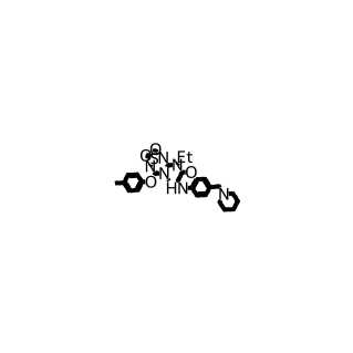 CCN(C1=NS(=O)(=O)N=C(Oc2ccc(C)cc2)N1C)C1CNc2ccc(CN3CCCCC3)cc2O1